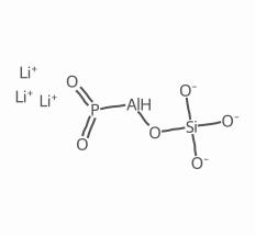 O=[P](=O)[AlH][O][Si]([O-])([O-])[O-].[Li+].[Li+].[Li+]